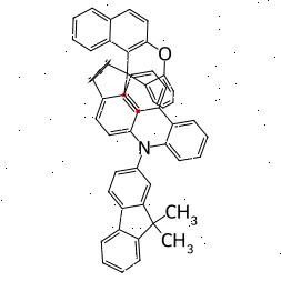 CC1(C)c2ccccc2-c2ccc(N(c3ccc4c(c3)C3(c5ccccc5Oc5ccc6ccccc6c53)c3ccccc3-4)c3ccccc3-c3ccccc3)cc21